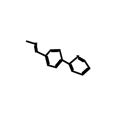 C/N=C/c1ccc(-c2ccccn2)cc1